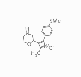 CSc1ccc(C2=C(C3CNCCO3)C(C)=[N+]2[O-])cc1